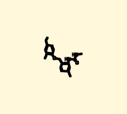 CCc1ccc(OCc2ccc(C)cc2NC(=O)NC)c(C)c1